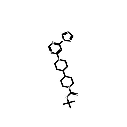 CC(C)(C)OC(=O)N1CCC(C2CCN(c3cc(-n4cncn4)ncn3)CC2)CC1